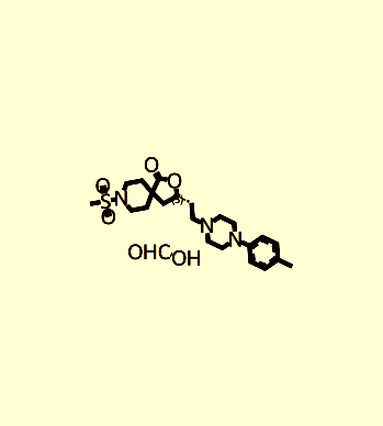 Cc1ccc(N2CCN(CC[C@@H]3CC4(CCN(S(C)(=O)=O)CC4)C(=O)O3)CC2)cc1.O=CO